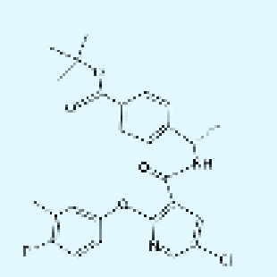 Cc1cc(Oc2ncc(Cl)cc2C(=O)N[C@@H](C)c2ccc(C(=O)OC(C)(C)C)cc2)ccc1F